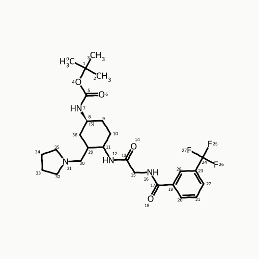 CC(C)(C)OC(=O)N[C@H]1CCC(NC(=O)CNC(=O)c2cccc(C(F)(F)F)c2)C(CN2CCCC2)C1